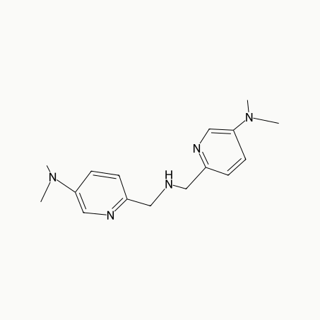 CN(C)c1ccc(CNCc2ccc(N(C)C)cn2)nc1